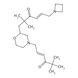 CC(C)(C)C(=O)/C=C/CN1CCOC(CC(C)(C)C(=O)/C=C/CN2CCC2)C1